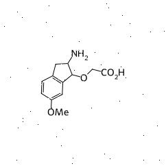 COc1ccc2c(c1)C(OCC(=O)O)C(N)C2